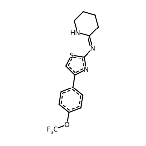 FC(F)(F)Oc1ccc(-c2csc(/N=C3/CCCCN3)n2)cc1